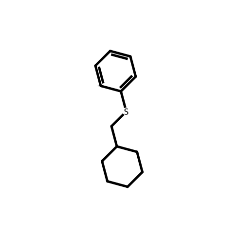 [c]1ccccc1SCC1CCCCC1